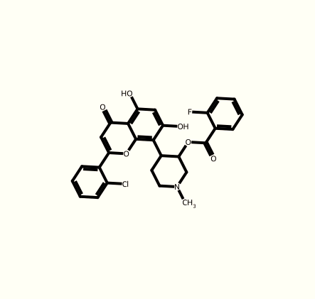 CN1CCC(c2c(O)cc(O)c3c(=O)cc(-c4ccccc4Cl)oc23)C(OC(=O)c2ccccc2F)C1